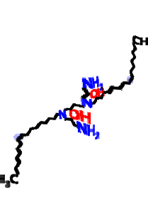 CCCCCCCC/C=C\CCCCCCCCN(CCCCN(CCCCCCCC/C=C\CCCCCCCC)CC(O)CN)CC(O)CN